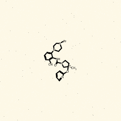 CC(C)N1CCN(c2cccc(C#N)c2NC(=O)N2CC[C@@](C)(Oc3ccccn3)C2)CC1